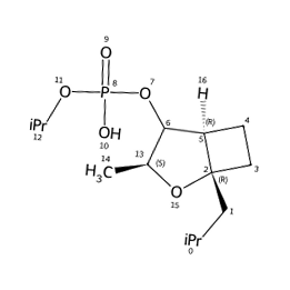 CC(C)C[C@]12CC[C@@H]1C(OP(=O)(O)OC(C)C)[C@H](C)O2